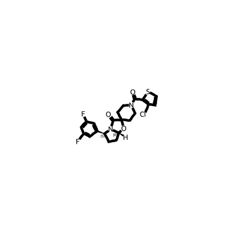 O=C(c1sccc1Cl)N1CCC2(CC1)O[C@@H]1CC[C@@H](c3cc(F)cc(F)c3)N1C2=O